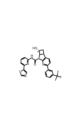 O=C(Nc1cccc(-c2cnco2)n1)N1c2nc(-c3cccc(C(F)(F)F)c3)ccc2C2C[C@@H](O)C21